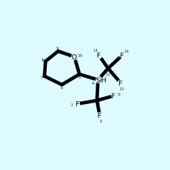 FC(F)(F)[SiH](C1CCCCO1)C(F)(F)F